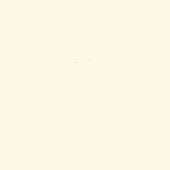 C=C(OC(=O)CCC)C(C)=O